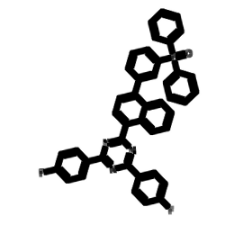 O=P(c1ccccc1)(c1ccccc1)c1cccc(-c2ccc(-c3nc(-c4ccc(F)cc4)nc(-c4ccc(F)cc4)n3)c3ccccc23)c1